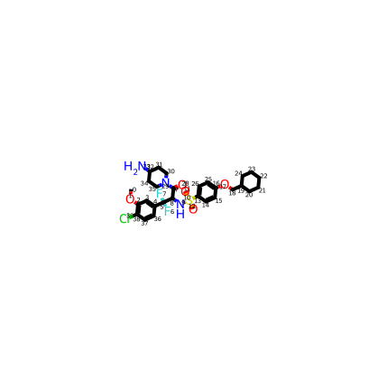 COc1cc(C(F)(F)C(NS(=O)(=O)c2ccc(OCC3CCCCC3)cc2)C(=O)N2CCC(N)CC2)ccc1Cl